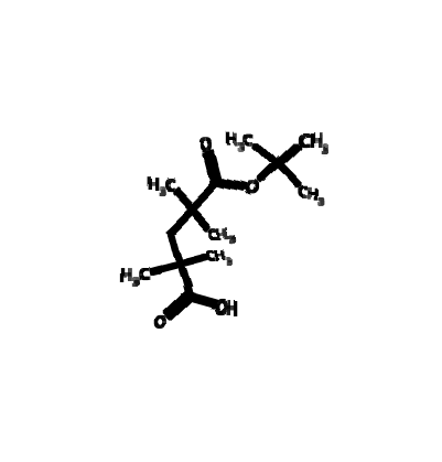 CC(C)(C)OC(=O)C(C)(C)CC(C)(C)C(=O)O